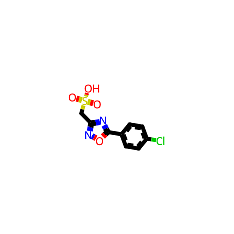 O=S(=O)(O)Cc1noc(-c2ccc(Cl)cc2)n1